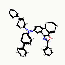 c1ccc(-c2ccc(N(c3ccc(-c4ccccc4)cc3)c3ccc4c(c3)c3c(c5ccccc54)OC(c4ccccc4)N3)cc2)cc1